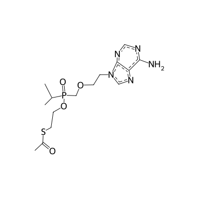 CC(=O)SCCOP(=O)(COCCn1cnc2c(N)ncnc21)C(C)C